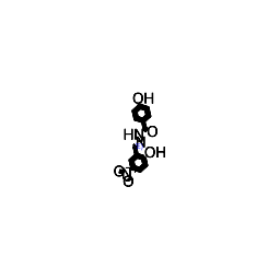 O=C(N/N=C/c1cc([N+](=O)[O-])ccc1O)c1ccc(O)cc1